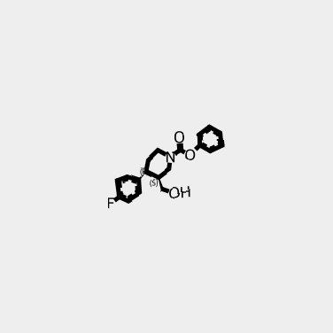 O=C(Oc1ccccc1)N1CC[C@@H](c2ccc(F)cc2)[C@H](CO)C1